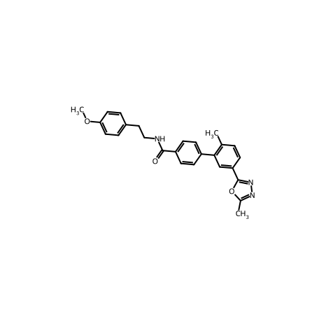 COc1ccc(CCNC(=O)c2ccc(-c3cc(-c4nnc(C)o4)ccc3C)cc2)cc1